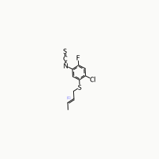 C/C=C/CSc1cc(N=C=S)c(F)cc1Cl